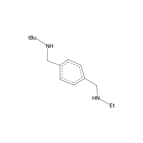 CCNCc1ccc(CNC(C)(C)C)cc1